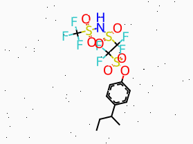 CCC(C)c1ccc(OS(=O)(=O)C(F)(F)C(F)(F)S(=O)(=O)NS(=O)(=O)C(F)(F)F)cc1